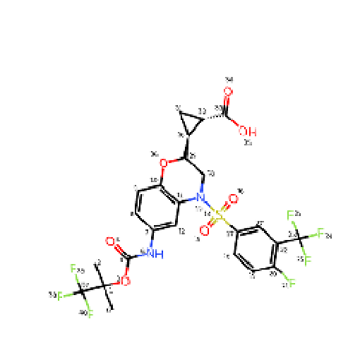 CC(C)(OC(=O)Nc1ccc2c(c1)N(S(=O)(=O)c1ccc(F)c(C(F)(F)F)c1)CC([C@H]1C[C@@H]1C(=O)O)O2)C(F)(F)F